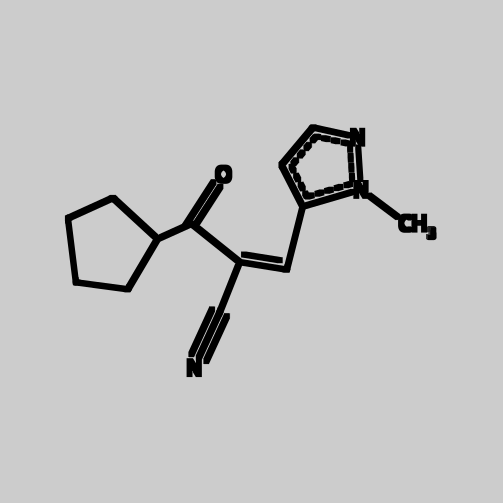 Cn1nccc1C=C(C#N)C(=O)C1CCCC1